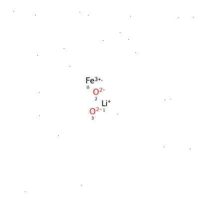 [Fe+3].[Li+].[O-2].[O-2]